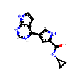 O=C(NC1CC1)c1cc(-c2ncnc3[nH]ccc23)c[nH]1